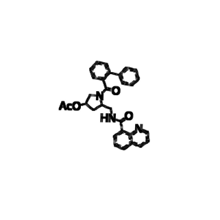 CC(=O)OC1CC(CNC(=O)c2cccc3cccnc23)N(C(=O)c2ccccc2-c2ccccc2)C1